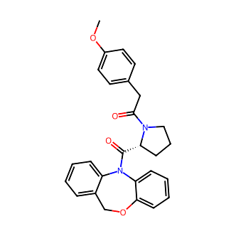 COc1ccc(CC(=O)N2CCC[C@@H]2C(=O)N2c3ccccc3COc3ccccc32)cc1